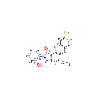 Cc1cc2c(cc1Cc1ccc(F)cc1F)C(=O)N([C@@H]1CCCC[C@H]1O)C2